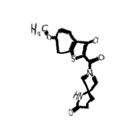 COc1ccc2c(Cl)c(C(=O)N3CC4(CCC(=O)N4)C3)sc2c1